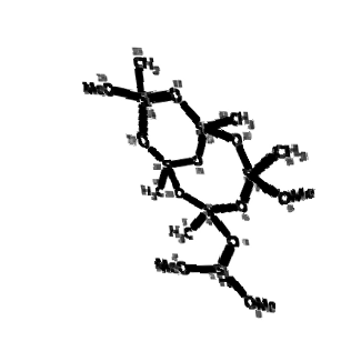 CO[SiH](OC)O[Si]1(C)O[Si](C)(OC)O[Si]2(C)O[Si](C)(OC)O[Si](C)(O1)O2